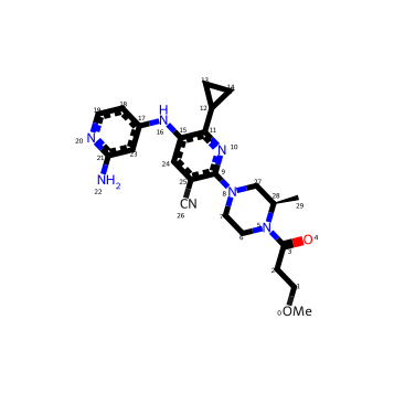 COCCC(=O)N1CCN(c2nc(C3CC3)c(Nc3ccnc(N)c3)cc2C#N)C[C@H]1C